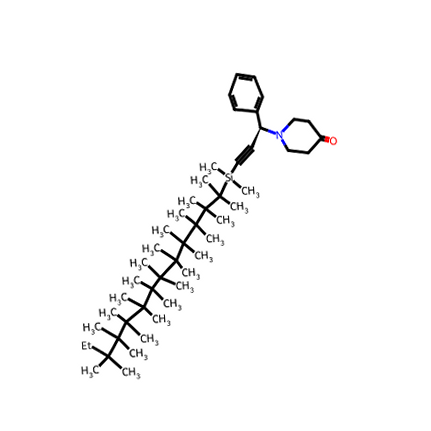 CCC(C)(C)C(C)(C)C(C)(C)C(C)(C)C(C)(C)C(C)(C)C(C)(C)C(C)(C)C(C)(C)C(C)(C)C(C)(C)[Si](C)(C)C#C[C@@H](c1ccccc1)N1CCC(=O)CC1